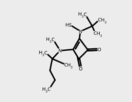 CCCC(C)(C)N(C)c1c(N(S)C(C)(C)C)c(=O)c1=O